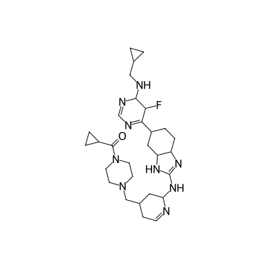 O=C(C1CC1)N1CCN(CC2CC=NC(NC3=NC4CCC(C5=NC=NC(NCC6CC6)C5F)CC4N3)C2)CC1